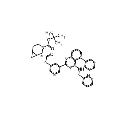 CC(C)(C)OC(=O)N1CCC2CC2[C@H]1C(=O)Nc1cncc(-c2nc(NCc3ccccn3)c3c(-c4ccccc4)cccc3n2)c1